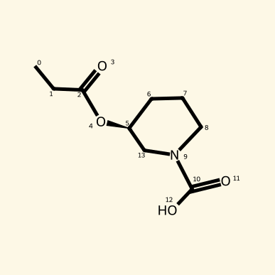 CCC(=O)O[C@H]1CCCN(C(=O)O)C1